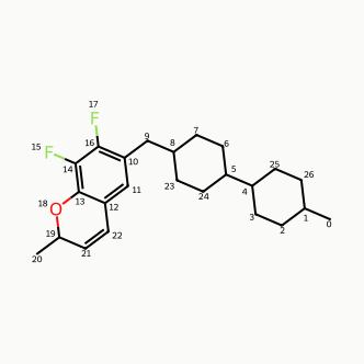 CC1CCC(C2CCC(Cc3cc4c(c(F)c3F)OC(C)C=C4)CC2)CC1